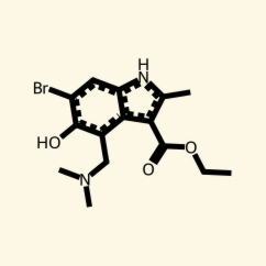 CCOC(=O)c1c(C)[nH]c2cc(Br)c(O)c(CN(C)C)c12